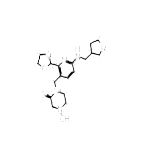 CN1CCN(Cc2ccc(NCC3CCOC3)nc2C2OCCO2)C(=O)C1